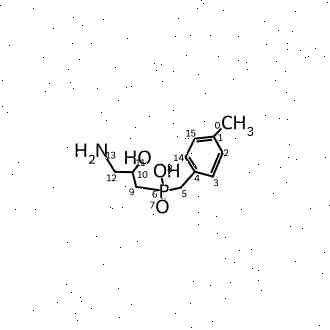 Cc1ccc(CP(=O)(O)CC(O)CN)cc1